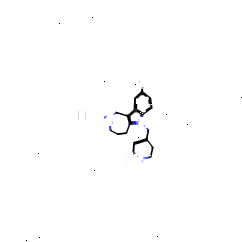 Cc1ccc2c(c1)c1c(n2CC2=CCNCC2)CCCN(C)C1